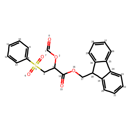 O=[C]OC(CS(=O)(=O)c1ccccc1)C(=O)OCC1c2ccccc2-c2ccccc21